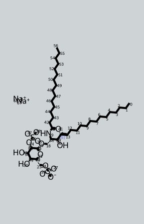 CCCCCCCCCCCCC/C=C/[C@@H](O)[C@H](CO[C@H]1O[C@H](COS(=O)(=O)[O-])[C@H](O)[C@H](O)[C@H]1OS(=O)(=O)[O-])NC(=O)CCCCCCCCCCCCCCC.[Na+].[Na+]